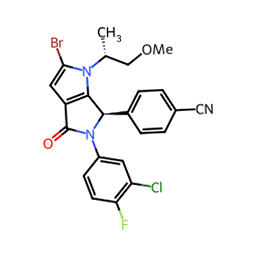 COC[C@@H](C)n1c(Br)cc2c1[C@@H](c1ccc(C#N)cc1)N(c1ccc(F)c(Cl)c1)C2=O